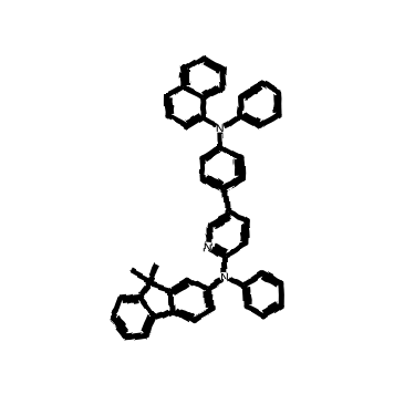 CC1(C)c2ccccc2-c2ccc(N(c3ccccc3)c3ccc(-c4ccc(N(c5ccccc5)c5cccc6ccccc56)cc4)cn3)cc21